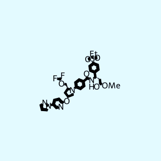 CCS(=O)(=O)c1ccc([C@H](CC(=O)OC)NC(=O)c2ccc(N3C[C@@H](Oc4ccc(-n5cccn5)cn4)C[C@H]3COC(F)F)cc2)cc1